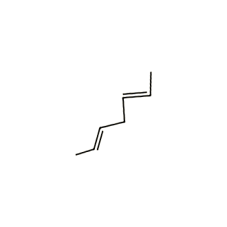 CC=CCC=CC